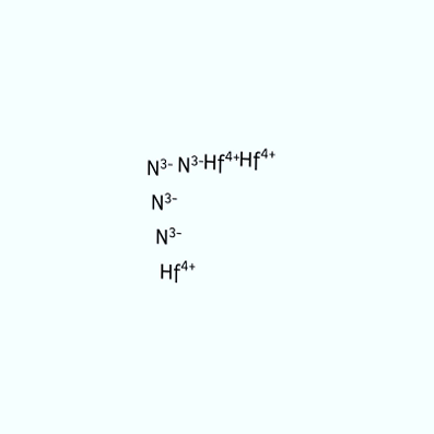 [Hf+4].[Hf+4].[Hf+4].[N-3].[N-3].[N-3].[N-3]